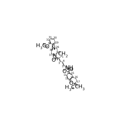 C=C/C(=C\C=C\NS(=O)(=O)c1ccc2c(c1)CCC(C)(C)O2)C(=O)N1CCN(c2ccccc2OC)CC1